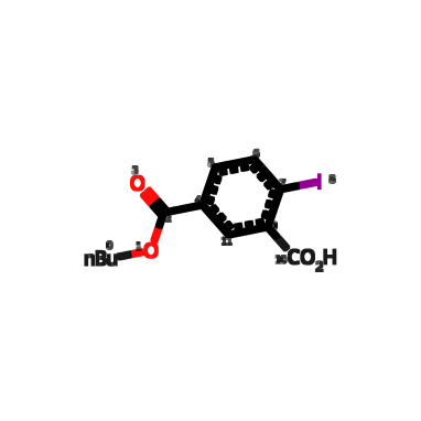 CCCCOC(=O)c1ccc(I)c(C(=O)O)c1